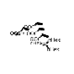 C=CC(=O)[O-].C=CC(=O)[O-].C=CC(=O)[O-].C=CC(=O)[O-].CCCCC[CH2][Al]([CH2]CCCCC)[CH2]CCCCC.[Sn+4]